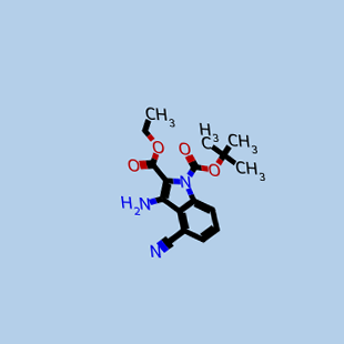 CCOC(=O)c1c(N)c2c(C#N)cccc2n1C(=O)OC(C)(C)C